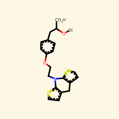 CCOC(Cc1ccc(OCCN2c3sccc3Cc3ccsc32)cc1)C(=O)O